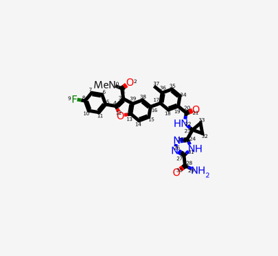 CNC(=O)c1c(-c2ccc(F)cc2)oc2ccc(-c3cc(C(=O)NC4(c5nnc(C(N)=O)[nH]5)CC4)ccc3C)cc12